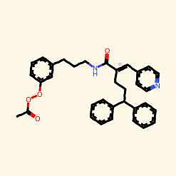 CC(=O)OOc1cccc(CCCNC(=O)/C(=C/c2ccncc2)CCC(c2ccccc2)c2ccccc2)c1